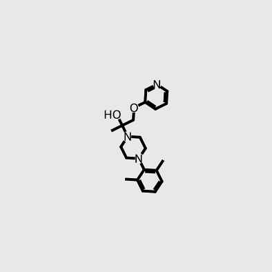 Cc1cccc(C)c1N1CCN(C(C)(O)COc2cccnc2)CC1